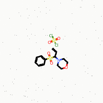 C=CC(N1CCOCC1)S(=O)(=O)c1ccccc1.O=S(=O)(Cl)Cl